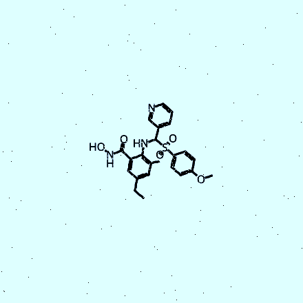 CCc1cc(C)c(NC(c2cccnc2)S(=O)(=O)c2ccc(OC)cc2)c(C(=O)NO)c1